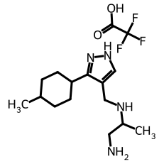 CC1CCC(c2n[nH]cc2CNC(C)CN)CC1.O=C(O)C(F)(F)F